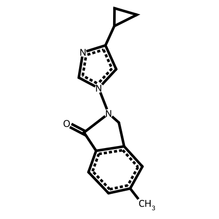 Cc1ccc2c(c1)CN(n1cnc(C3CC3)c1)C2=O